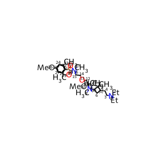 CCN(CC)CC[C@H]1C[C@@H](N(C)C(C)(COCCN(C)S(=O)(=O)c2c(C)cc(OC)cc2C)OC)C1(C)C